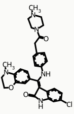 CN1CCN(C(=O)Cc2ccc(NC(=C3C(=O)Nc4cc(Cl)ccc43)c3ccc4c(c3)OCCN4C)cc2)CC1